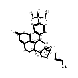 C/C=C/C[C@]12CC[C@H]3[C@@H]4CCC5=CC(=O)CCC5=C4[C@@H](c4ccc(P(=O)(OCC)OCC)cc4)C[C@@]31O2